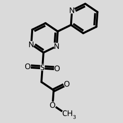 COC(=O)CS(=O)(=O)c1nccc(-c2ccccn2)n1